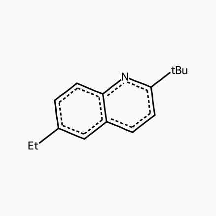 CCc1ccc2nc(C(C)(C)C)ccc2c1